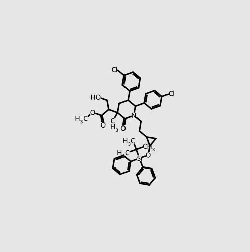 COC(=O)C(CO)C1(C)CC(c2cccc(Cl)c2)C(c2ccc(Cl)cc2)N(CCC2CC2O[Si](c2ccccc2)(c2ccccc2)C(C)(C)C)C1=O